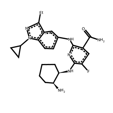 CCc1nn(C2CC2)c2ccc(Nc3nc(N[C@@H]4CCCC[C@@H]4N)c(F)cc3C(N)=O)cc12